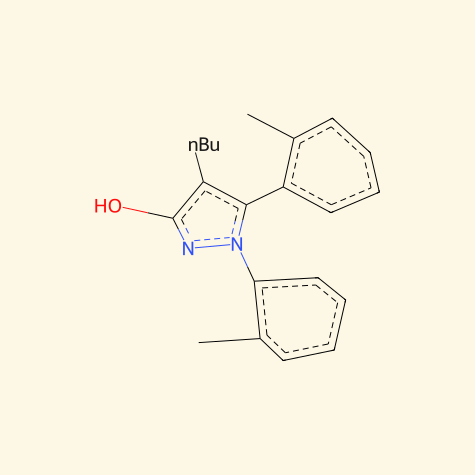 CCCCc1c(O)nn(-c2ccccc2C)c1-c1ccccc1C